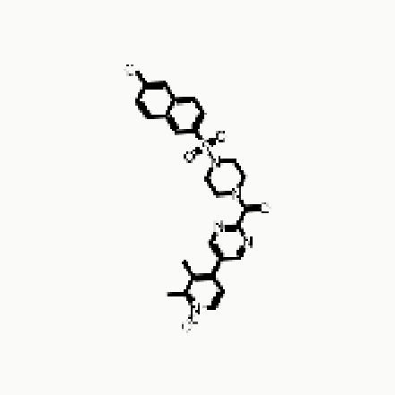 Cc1c(-c2cnc(C(=O)N3CCN(S(=O)(=O)c4ccc5cc(Cl)ccc5c4)CC3)nc2)cc[n+]([O-])c1C